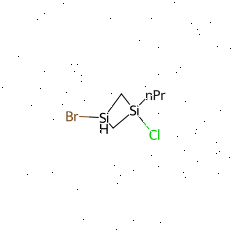 CCC[Si]1(Cl)C[SiH](Br)C1